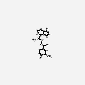 NC(=NOC(=O)c1ccc(F)c(C(F)(F)F)c1)c1cccc2[nH]ccc12